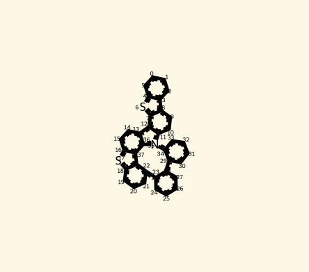 c1ccc2c(c1)sc1c2ccc2c1c1ccc3sc4cccc5c6ccccc6c6ccccc6n2c1c3c45